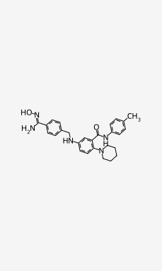 Cc1ccc(NC(=O)c2cc(NCc3ccc(/C(N)=N/O)cc3)ccc2N2CCCCC2)cc1